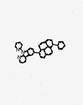 c1ccc(-c2ccc3ccc4c(-c5ccc6c(c5)c5cccnc5n6-c5ccccn5)ccc5ccc2c3c54)cc1